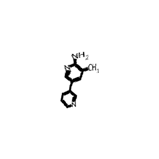 Cc1cc(-c2cccnc2)cnc1N